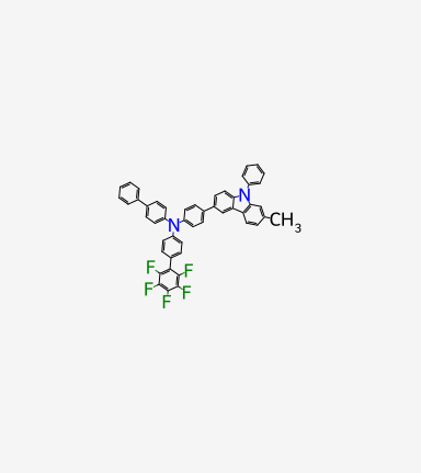 Cc1ccc2c3cc(-c4ccc(N(c5ccc(-c6ccccc6)cc5)c5ccc(-c6c(F)c(F)c(F)c(F)c6F)cc5)cc4)ccc3n(-c3ccccc3)c2c1